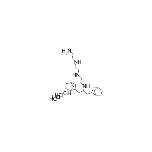 Cl.Cl.Cl.Cl.NCCNCCNCCNC(CC1CC2CCC1C2)CC1CC2CCC1C2